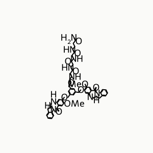 COc1cc2c(cc1OCc1cc(COCNCC(=O)NCC(=O)NCC(=O)NCCC(N)=O)cc(COc3cc4c(cc3OC)C(=O)N3c5ccccc5C[C@H]3CN4)c1)N=C[C@@H]1Cc3ccccc3N1C2=O